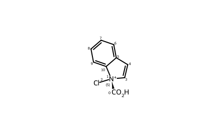 O=C(O)[N@+]1(Cl)C=Cc2ccccc21